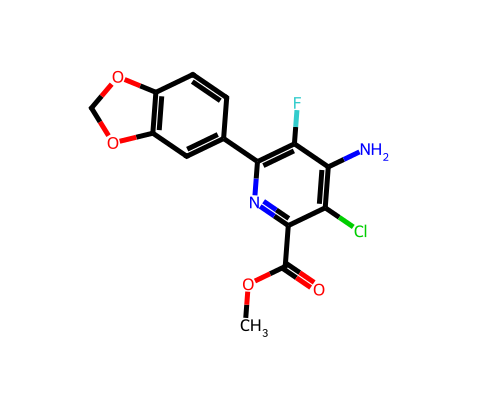 COC(=O)c1nc(-c2ccc3c(c2)OCO3)c(F)c(N)c1Cl